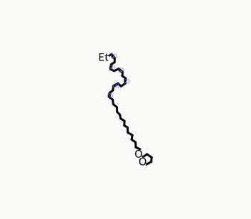 CC/C=C\C/C=C\C/C=C\C/C=C\C/C=C\C/C=C\CCCCCCCCCCCCCCCOC1CCCCO1